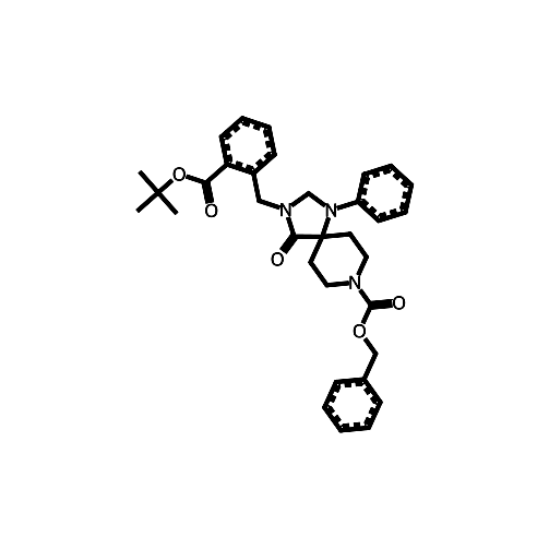 CC(C)(C)OC(=O)c1ccccc1CN1CN(c2ccccc2)C2(CCN(C(=O)OCc3ccccc3)CC2)C1=O